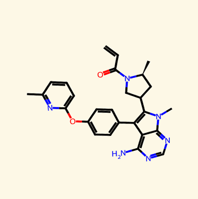 C=CC(=O)N1CC(c2c(-c3ccc(Oc4cccc(C)n4)cc3)c3c(N)ncnc3n2C)C[C@@H]1C